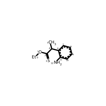 CCOC(=S)C(C)c1ccccc1N